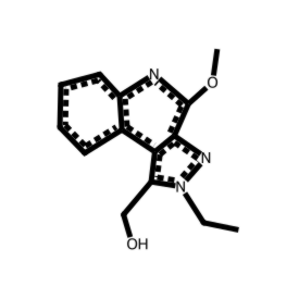 CCn1nc2c(OC)nc3ccccc3c2c1CO